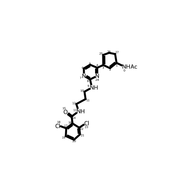 CC(=O)NC1=CC(c2ccnc(NCCCNC(=O)c3c(Cl)cccc3Cl)n2)=CCC1